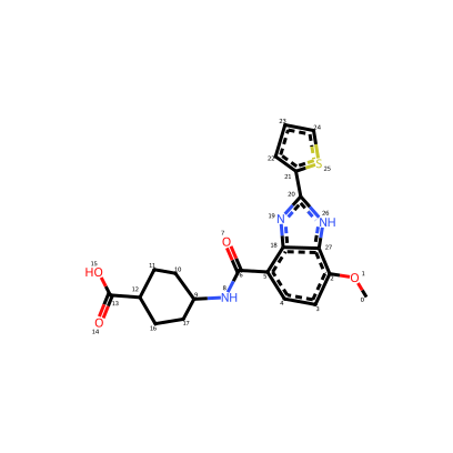 COc1ccc(C(=O)NC2CCC(C(=O)O)CC2)c2nc(-c3cccs3)[nH]c12